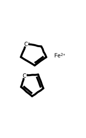 C1=CC[CH-]C1.[Fe+2].c1cc[cH-]c1